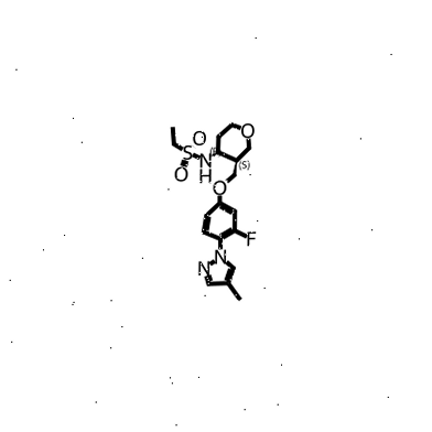 CCS(=O)(=O)N[C@@H]1CCOC[C@H]1COc1ccc(-n2cc(C)cn2)c(F)c1